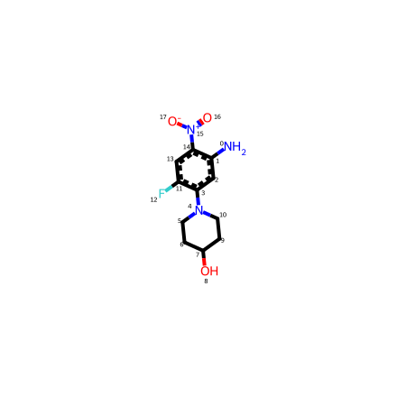 Nc1cc(N2CCC(O)CC2)c(F)cc1[N+](=O)[O-]